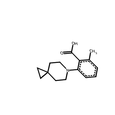 Cc1cccc(N2CCC3(CC2)CC3)c1C(=O)O